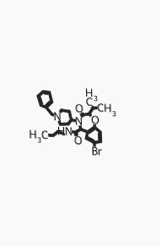 CCCCNC(=O)C1c2cc(Br)ccc2OC(C(C)C)C(=O)N1C1CCN(Cc2ccccc2)CC1